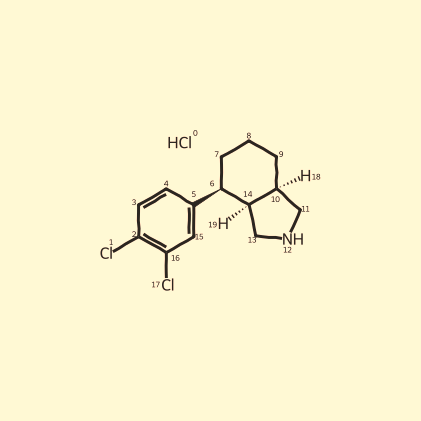 Cl.Clc1ccc([C@H]2CCC[C@H]3CNC[C@H]32)cc1Cl